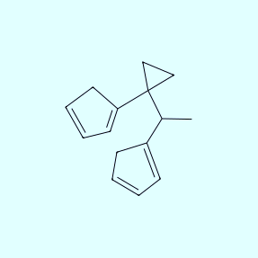 CC(C1=CC=CC1)C1(C2=CC=CC2)CC1